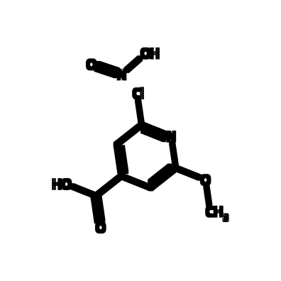 COc1cc(C(=O)O)cc(Cl)n1.O=NO